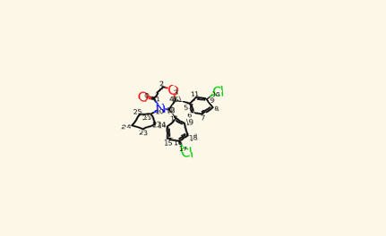 O=C1CO[C@@H](c2cccc(Cl)c2)[C@@H](c2ccc(Cl)cc2)N1C1CCCC1